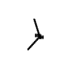 CCCCCCCCCCCCCCCCCCNN(C)NCCCCCCCCCCCCCCCCCC